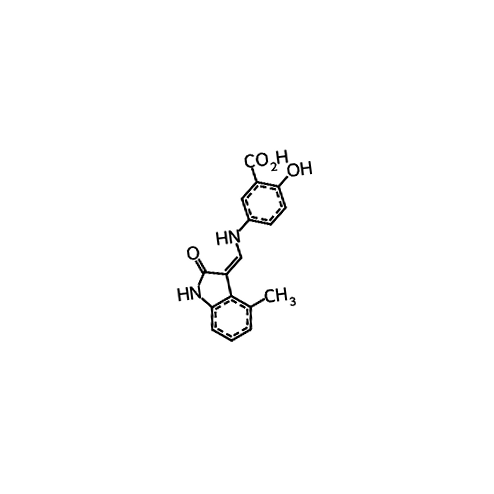 Cc1cccc2c1C(=CNc1ccc(O)c(C(=O)O)c1)C(=O)N2